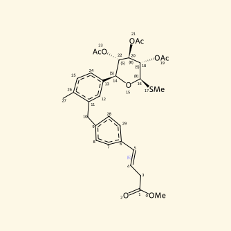 COC(=O)C/C=C/c1ccc(Cc2cc([C@@H]3O[C@H](SC)[C@@H](OC(C)=O)[C@H](OC(C)=O)[C@H]3OC(C)=O)ccc2C)cc1